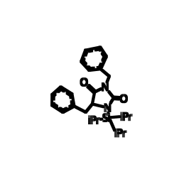 CC(C)[Si](C(C)C)(C(C)C)N1C(=O)N(Cc2ccccc2)C(=O)C1Cc1ccccc1